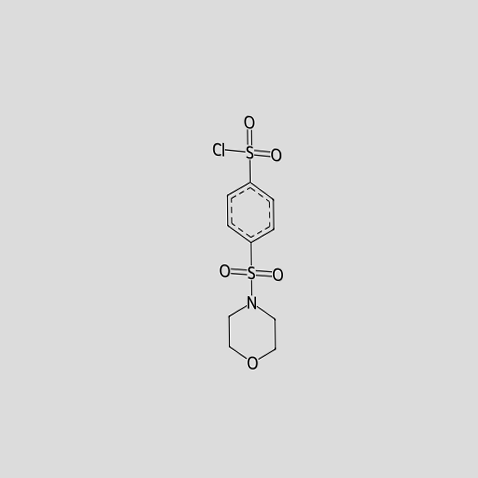 O=S(=O)(Cl)c1ccc(S(=O)(=O)N2CCOCC2)cc1